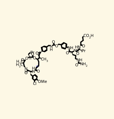 COc1ccc(C[C@H]2NC(=O)/C=C/CC([C@H](C)[C@H]3O[C@@H]3c3ccc(CNC(=O)OCc4ccc(NC(=O)[C@H](CCCNC(N)=O)NC(=O)[C@@H](NC(=O)CCCC(=O)O)C(C)C)cc4)cc3)OC(=O)[C@H](CC(C)C)OC(=O)C(C)(C)CNC2=O)cc1Cl